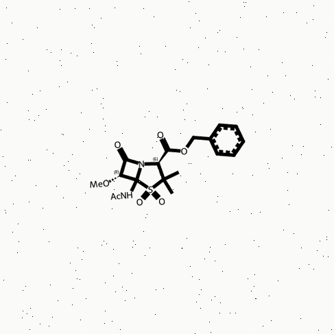 CO[C@@H]1C(=O)N2[C@@H](C(=O)OCc3ccccc3)C(C)(C)S(=O)(=O)C12NC(C)=O